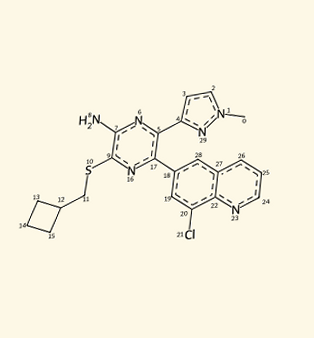 Cn1ccc(-c2nc(N)c(SCC3CCC3)nc2-c2cc(Cl)c3ncccc3c2)n1